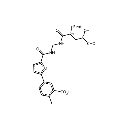 CCCCC[C@H](CN(O)C=O)C(=O)NCNC(=O)c1ccc(-c2ccc(C)c(C(=O)O)c2)o1